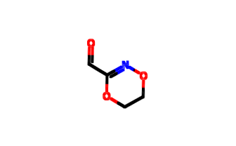 O=CC1=NOCCO1